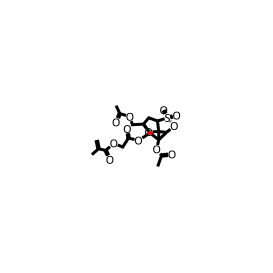 C=C(C)C(=O)OCC(=O)OC1C2(COC(C)=O)CC3C4(O2)C(OS3(=O)=O)C14OC(C)=O